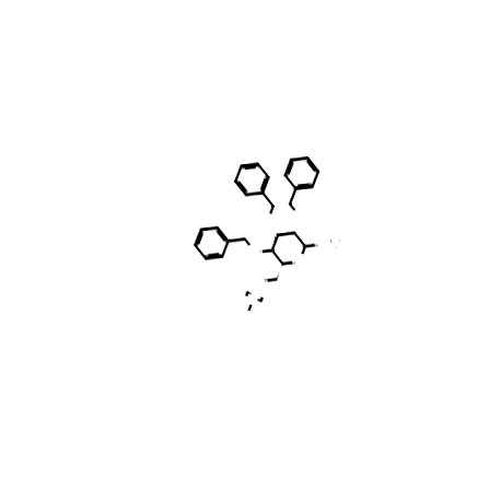 COC1O[C@@H](COS(C)(=O)=O)C(OCc2ccccc2)[C@H](OCc2ccccc2)[C@@H]1OCc1ccccc1